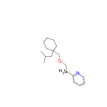 CC(C)CC1(COC[SiH2]c2ccccn2)CCCCC1